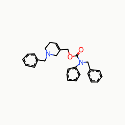 O=C(OCC1=CCCN(Cc2ccccc2)C1)N(Cc1ccccc1)c1ccccc1